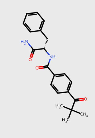 CC(C)(C)C(=O)c1ccc(C(=O)N[C@@H](Cc2ccccc2)C(N)=O)cc1